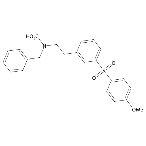 COc1ccc(S(=O)(=O)c2cccc(CCN(Cc3ccccc3)C(=O)O)c2)cc1